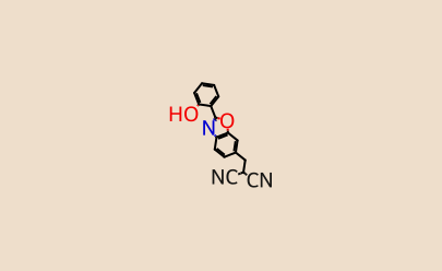 N#CC(C#N)Cc1ccc2nc(-c3ccccc3O)oc2c1